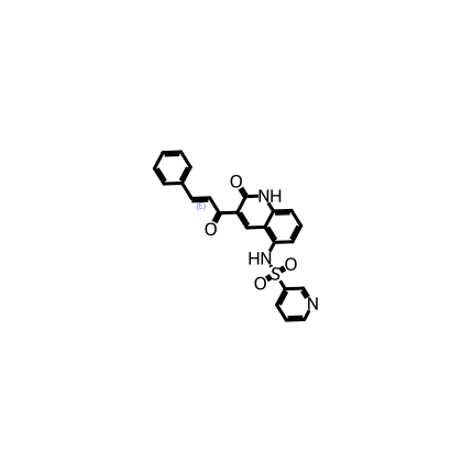 O=C(/C=C/c1ccccc1)c1cc2c(NS(=O)(=O)c3cccnc3)cccc2[nH]c1=O